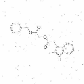 Cc1[nH]c2ccccc2c1CC(=O)OCC(=O)OCc1ccccc1